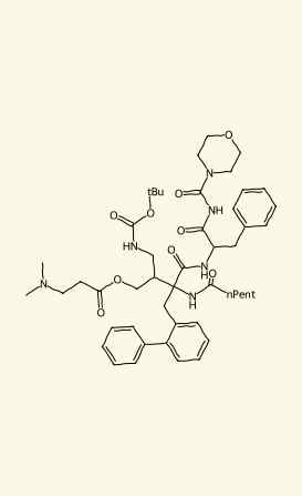 CCCCCC(=O)NC(Cc1ccccc1-c1ccccc1)(C(=O)NC(Cc1ccccc1)C(=O)NC(=O)N1CCOCC1)C(CNC(=O)OC(C)(C)C)COC(=O)CCN(C)C